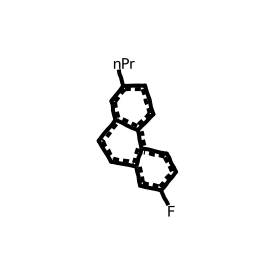 CCCc1ccc2c(ccc3cc(F)ccc32)c1